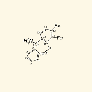 N[C@@H]1c2ccccc2SCc2c1ccc(F)c2F